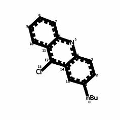 CCCCc1ccc2nc3ccccc3c(Cl)c2c1